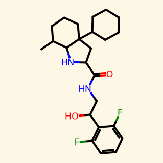 CC1CCCC2(C3CCCCC3)CC(C(=O)NCC(O)c3c(F)cccc3F)NC12